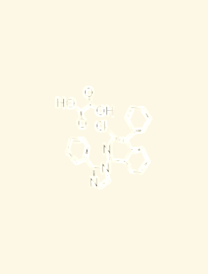 Clc1nc(-n2ccnc2-c2ccccc2)c2ccccc2c1-c1ccccc1.O=C(O)C(=O)O